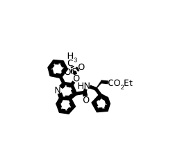 CCOC(=O)C[C@H](NC(=O)c1c(OS(C)(=O)=O)c(-c2ccccc2)nc2ccccc12)c1ccccc1